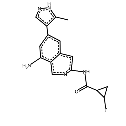 Cc1[nH]ncc1-c1cc(N)c2cnc(NC(=O)C3CC3F)cc2c1